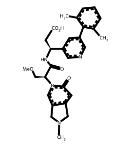 COC[C@@H](C(=O)N[C@@H](CC(=O)O)c1cncc(-c2c(C)cccc2C)c1)n1cc2c(cc1=O)CN(C)C2